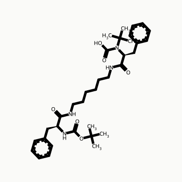 CC(C)(C)OC(=O)N[C@@H](Cc1ccccc1)C(=O)NCCCCCCNC(=O)[C@H](Cc1ccccc1)N(C(=O)O)C(C)(C)C